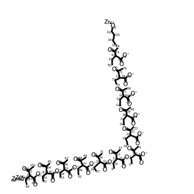 CCC(C(C)=O)C(=O)[O-].CCC(C(C)=O)C(=O)[O-].CCC(C(C)=O)C(=O)[O-].CCC(C(C)=O)C(=O)[O-].CCC(C(C)=O)C(=O)[O-].CCC(C(C)=O)C(=O)[O-].CCC(C(C)=O)C(=O)[O-].CCC(C(C)=O)C(=O)[O-].CCC(C(C)=O)C(=O)[O-].CCC(C(C)=O)C(=O)[O-].CCC(C(C)=O)C(=O)[O-].CCC(C(C)=O)C(=O)[O-].CCCC[O][Zr].[Zr+4].[Zr+4].[Zr+4]